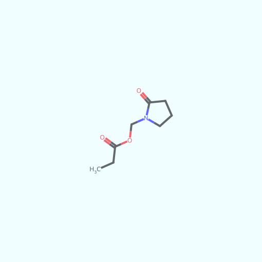 CCC(=O)OCN1CCCC1=O